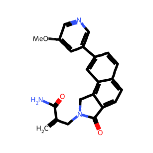 C=C(CN1Cc2c(ccc3ccc(-c4cncc(OC)c4)cc23)C1=O)C(N)=O